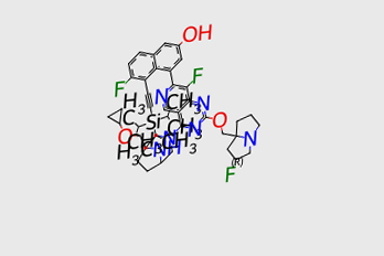 CC(C)[Si](C#Cc1c(F)ccc2cc(O)cc(-c3ncc4c(N5CC6CCC(COC7CC7)(C5)N6)nc(OCC56CCCN5C[C@H](F)C6)nc4c3F)c12)(C(C)C)C(C)C